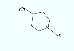 CCCC1CCN(CC)CC1